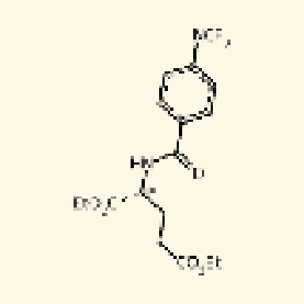 CCOC(=O)CC[C@@H](NC(=O)c1ccc(NC(F)(F)F)cc1)C(=O)OCC